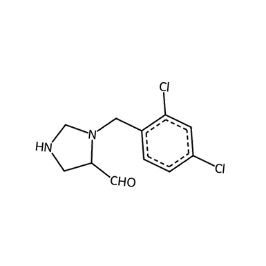 O=CC1CNCN1Cc1ccc(Cl)cc1Cl